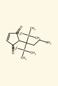 C[Si](C)(C)C(CCN)(N1C(=O)C=CC1=O)[Si](C)(C)C